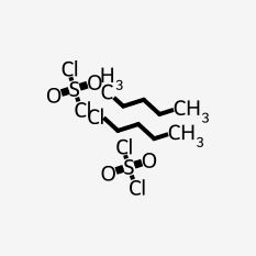 CCCCC.CCCCCl.O=S(=O)(Cl)Cl.O=S(=O)(Cl)Cl